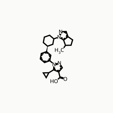 CC1CCc2cnn(C3CCC[C@H](c4cccc(-n5ncc(C(=O)O)c5C5CC5)c4)C3)c21